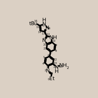 CC/C=N/c1ccc(-c2ccc3[nH]c(-c4cc(C(C)(C)C)[nH]n4)nc3c2)cc1NN